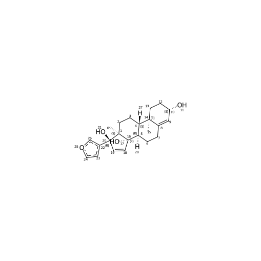 C[C@]12CC[C@H]3[C@@H](CCC4=C[C@@H](O)CC[C@@]43C)[C@@]1(O)C=C[C@]2(O)c1ccoc1